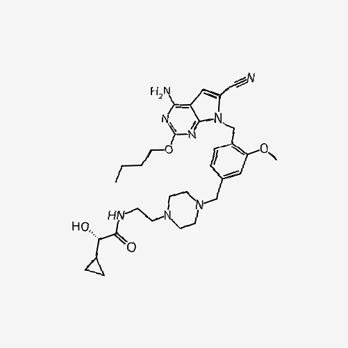 CCCCOc1nc(N)c2cc(C#N)n(Cc3ccc(CN4CCN(CCNC(=O)[C@@H](O)C5CC5)CC4)cc3OC)c2n1